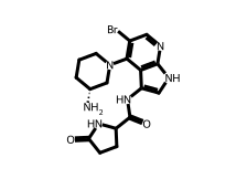 N[C@@H]1CCCN(c2c(Br)cnc3[nH]cc(NC(=O)C4CCC(=O)N4)c23)C1